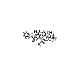 Cc1nc(C)c([C@H](OC(C)(C)C)C(=O)O)c(N2CCC(C3CC3)C2)c1-c1ccc(C(=O)NCc2ccccc2)cc1